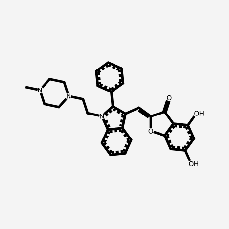 CN1CCN(CCn2c(-c3ccccc3)c(C=C3Oc4cc(O)cc(O)c4C3=O)c3ccccc32)CC1